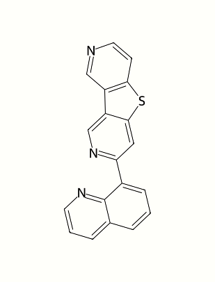 c1cnc2c(-c3cc4sc5ccncc5c4cn3)cccc2c1